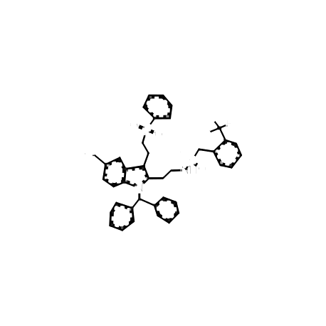 O=S(=O)(Cc1ccccc1C(F)(F)F)NCCc1c(CCS(=O)(=O)c2[c]cccc2)c2cc(Cl)ccc2n1C(c1ccccc1)c1ccccc1